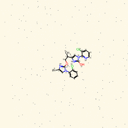 CC(C)c1cn(-c2ccccc2Cl)c(OCC(C)c2cn(-c3ncccc3Cl)c(O)n2)n1